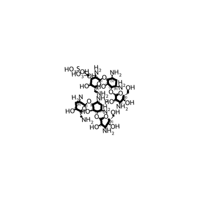 NC[C@H]1O[C@H](O[C@H]2[C@H](O)[C@@H](O[C@H]3O[C@H](CO)[C@@H](O)[C@H](N)[C@H]3O)[C@H](N)C[C@@H]2N)[C@H](N)C[C@@H]1O.NC[C@H]1O[C@H](O[C@H]2[C@H](O)[C@@H](O[C@H]3O[C@H](CO)[C@@H](O)[C@H](N)[C@H]3O)[C@H](N)C[C@@H]2N)[C@H](N)C[C@@H]1O.O=S(=O)(O)O.O=S(=O)(O)O